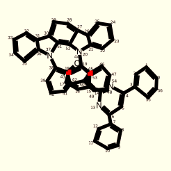 c1ccc(-c2cc(-c3ccccc3)nc(-c3cccc(-n4c5ccccc5c5ccc6c7ccccc7n(-c7cccc8c7oc7ccccc78)c6c54)c3)n2)cc1